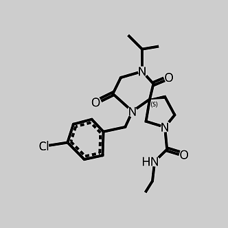 CCNC(=O)N1CC[C@]2(C1)C(=O)N(C(C)C)CC(=O)N2Cc1ccc(Cl)cc1